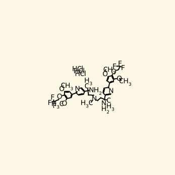 COc1cc(-c2ccc(C(C)(N)CCN(C)CCC(C)(N)c3ccc(-c4cc(OC)c(OCC(F)(F)F)c(OC)c4)nc3)cn2)cc(OC)c1OCC(F)(F)F.Cl.Cl.Cl